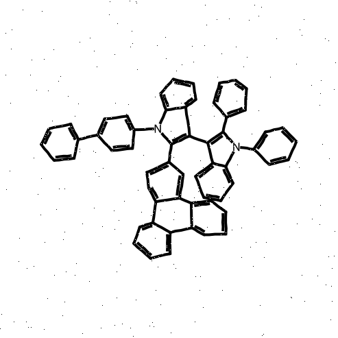 c1ccc(-c2ccc(-n3c(-c4ccc5c6ccccc6c6ccccc6c5c4)c(-c4c(-c5ccccc5)n(-c5ccccc5)c5ccccc45)c4ccccc43)cc2)cc1